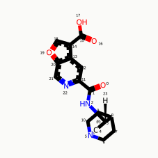 O=C(N[C@H]1CN2CCC1CC2)c1cc2c(C(=O)O)coc2cn1